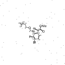 COC(=O)c1nn(COCC[Si](C)(C)C)c2c(F)c(Br)ccc12